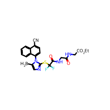 Bc1cnc(SC(F)(F)C(=O)NCC(=O)NCC(=O)OCC)n1-c1ccc(C#N)c2ccccc12